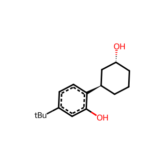 CC(C)(C)c1ccc([C@@H]2CCC[C@@H](O)C2)c(O)c1